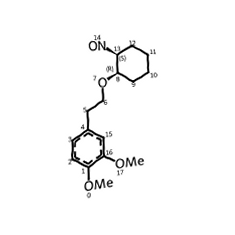 COc1ccc(CCO[C@@H]2CCCC[C@@H]2N=O)cc1OC